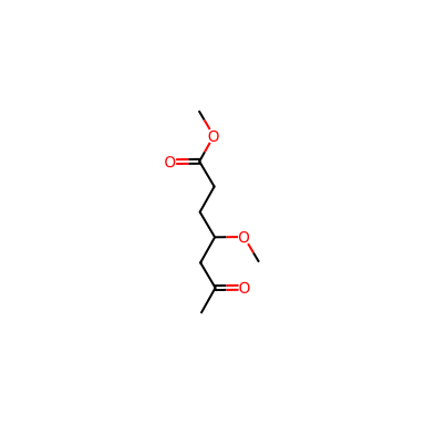 COC(=O)CCC(CC(C)=O)OC